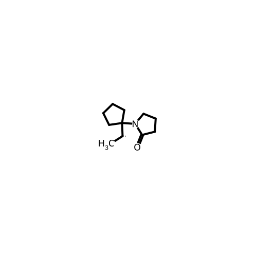 C[CH]C1(N2CCCC2=O)CCCC1